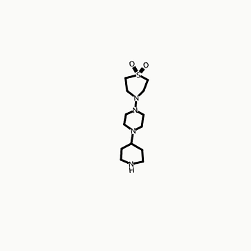 O=S1(=O)CCN(N2CCN(C3CCNCC3)CC2)CC1